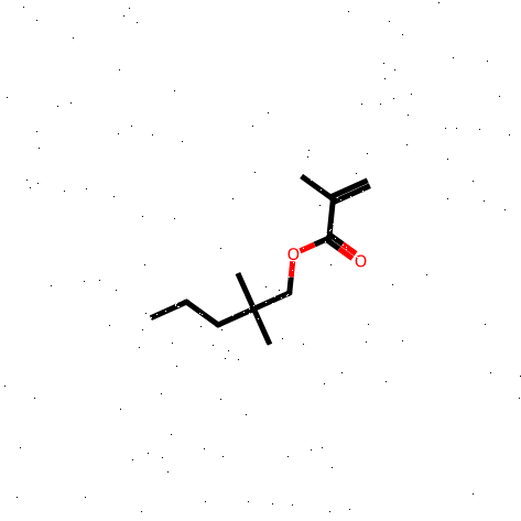 C=C(C)C(=O)OCC(C)(C)CCC